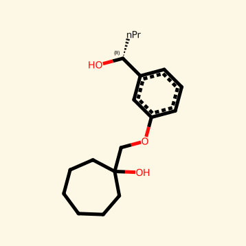 CCC[C@@H](O)c1cccc(OCC2(O)CCCCCC2)c1